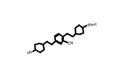 CCCCCC1CCC(CCc2ccc(CCC3CCC(CCC)CC3)cc2C#N)CC1